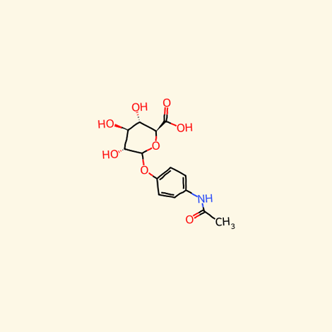 CC(=O)Nc1ccc(OC2O[C@H](C(=O)O)[C@@H](O)[C@H](O)[C@H]2O)cc1